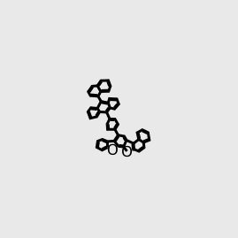 c1ccc2c(-c3c4ccccc4c(-c4ccc(-c5cc6c(oc7ccc8ccccc8c76)c6oc7ccccc7c56)cc4)c4ccccc34)cccc2c1